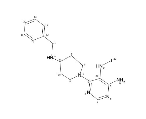 Nc1ncnc(N2CCC(NCc3ccccc3)CC2)c1NI